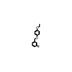 CCOc1ccc(OCc2cccc(F)c2)cc1